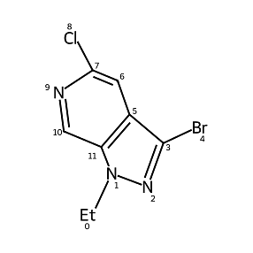 CCn1nc(Br)c2cc(Cl)ncc21